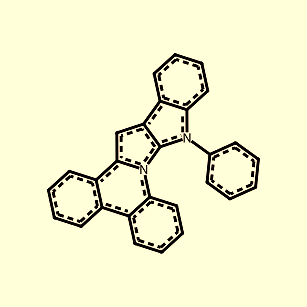 c1ccc(-n2c3ccccc3c3cc4c5ccccc5c5ccccc5n4c32)cc1